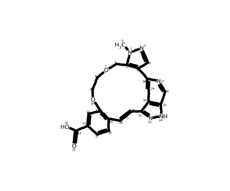 Cn1ncc2c1COCCOc1cc(C(=O)O)ccc1/C=C/c1n[nH]c3cnc-2cc13